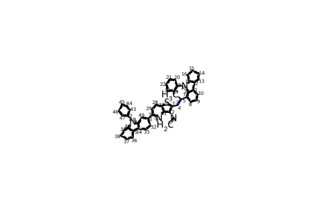 C=Nc1c(/C=C(\C)c2cccc3c4ccccc4n(-c4ccccc4)c23)sc2ccc(-c3ccc4c5ccccc5n(-c5ccccc5)c4c3)nc12